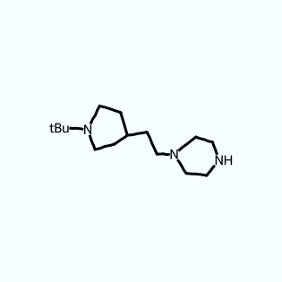 CC(C)(C)N1CCC(CCN2CCNCC2)CC1